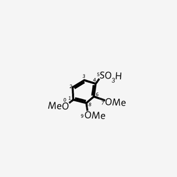 COc1ccc(S(=O)(=O)O)c(OC)c1OC